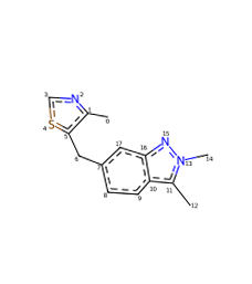 Cc1ncsc1Cc1ccc2c(C)n(C)nc2c1